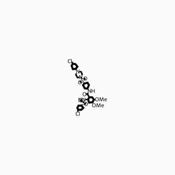 COc1cc(NS(=O)(=O)c2ccc(Cl)cc2)c(C(=O)Nc2ccc(S(=O)(=O)N3CCN(c4ccc(Cl)cc4)CC3)cc2)cc1OC